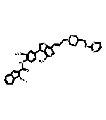 COc1cc(-c2csc3c(/C=C/CN4CCC(CNc5ncccn5)CC4)cnc(N)c23)ccc1NC(=O)c1cc2ccccc2n1C